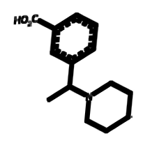 CC(c1cccc(C(=O)O)c1)N1CC[CH]CC1